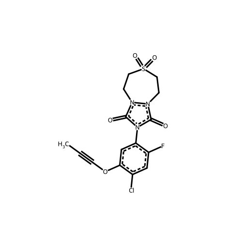 CC#COc1cc(-n2c(=O)n3n(c2=O)CCS(=O)(=O)CC3)c(F)cc1Cl